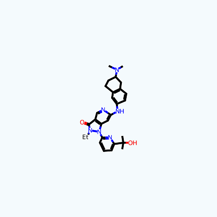 CCn1c(=O)c2cnc(Nc3ccc4c(c3)CCC(N(C)C)C4)cc2n1-c1cccc(C(C)(C)O)n1